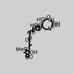 COc1c(C)c2c(c(O)c1C/C=C(\C)CCC(=O)OCCN(C)CC(=O)N(C)C1C[C@@H](C)O[C@@H](O[C@@H]3[C@@H](C)[C@H](O)[C@@H](C)C(=O)O[C@H](I)[C@@](C)(O)[C@H](O)[C@@H](C)N(C)C[C@H](C)C[C@@]3(C)O)[C@@H]1O)C(=O)OC2